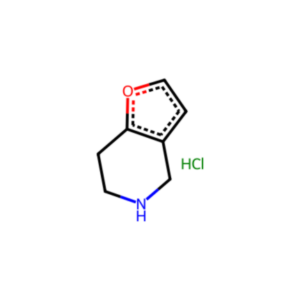 Cl.c1cc2c(o1)CCNC2